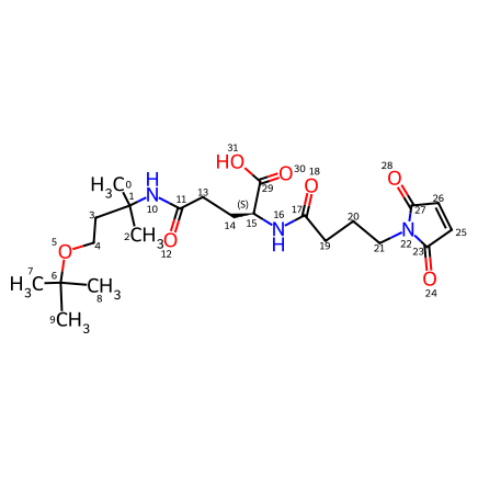 CC(C)(CCOC(C)(C)C)NC(=O)CC[C@H](NC(=O)CCCN1C(=O)C=CC1=O)C(=O)O